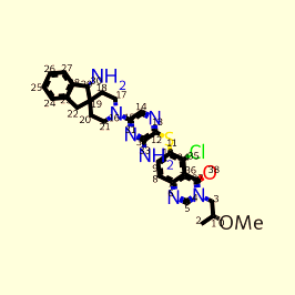 COC(C)Cn1cnc2ccc(Sc3ncc(N4CCC5(CC4)Cc4ccccc4[C@H]5N)nc3N)c(Cl)c2c1=O